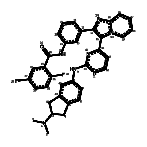 CN(C)C1Cc2ccc(Nc3nccc(-c4c(-c5cccc(NC(=O)c6cc(F)ccc6F)c5)nc5ccccn45)n3)cc2C1